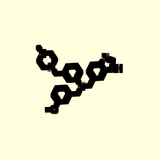 COc1cccc(CN(Cc2ccc3nc[nH]c3c2)c2cccc(CN3CCN(C)CC3)c2)c1